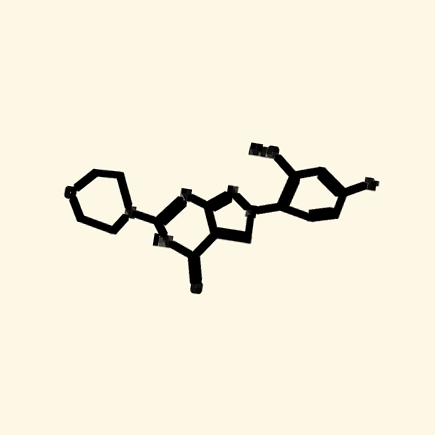 COc1cc(Br)ccc1-n1cc2c(=O)[nH]c(N3CCOCC3)nc2n1